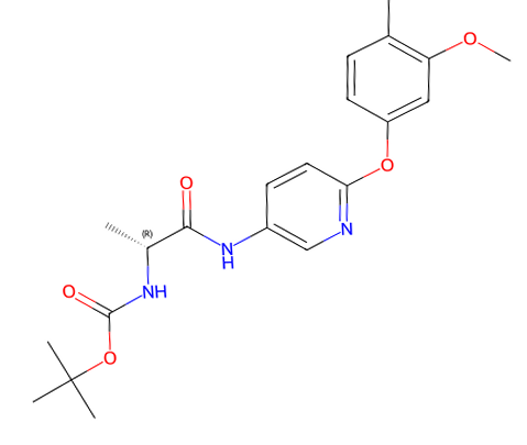 COc1cc(Oc2ccc(NC(=O)[C@@H](C)NC(=O)OC(C)(C)C)cn2)ccc1C